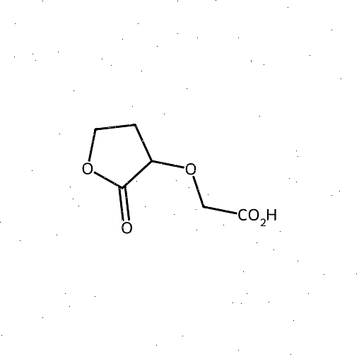 O=C(O)COC1CCOC1=O